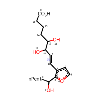 CCCCCC(O)c1occc1/C=C/C(O)C(O)CCCC(=O)O